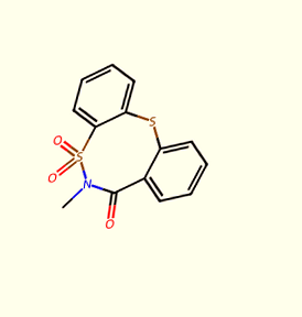 CN1C(=O)c2ccccc2Sc2ccccc2S1(=O)=O